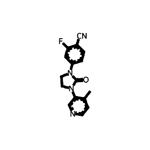 Cc1ccncc1N1CCN(c2ccc(C#N)c(F)c2)C1=O